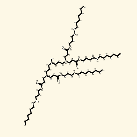 CCCCCCCSSCCCOC(=O)CCN(CCCN(C)CCCN(CCC(=O)OCCCSSCCCCCCC)CCC(=O)OCCCSSCCCCCCC)CCC(=O)OCCCSSCCCCCCC